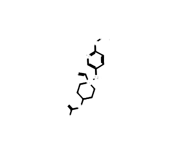 COc1ccc(N[N+]2(C=S)CCC(OC(C)=O)CC2)cn1